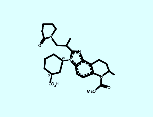 COC(=O)N1c2ccc3c(nc(C(C)CN4CCCCC4=O)n3[C@@H]3CCC[C@H](C(=O)O)C3)c2CCC1C